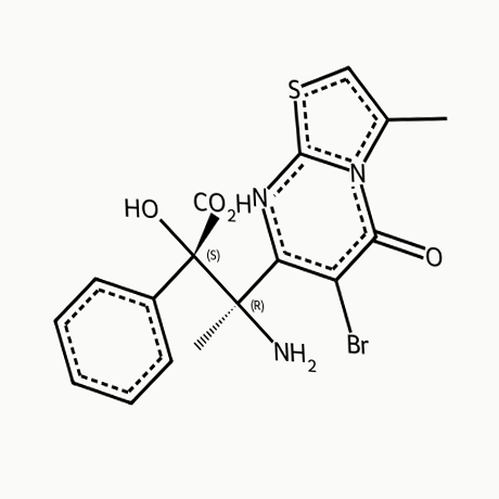 Cc1csc2nc([C@@](C)(N)[C@](O)(C(=O)O)c3ccccc3)c(Br)c(=O)n12